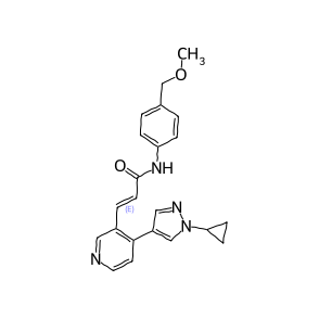 COCc1ccc(NC(=O)/C=C/c2cnccc2-c2cnn(C3CC3)c2)cc1